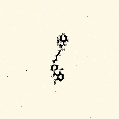 COc1cccc(OC)c1C(=O)N1CCN(CCCCCNC(=NC#N)Nc2ccncc2F)CC1